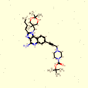 CCCCc1nc2c(N)nc3cc(C#CCN4CCN(C(=O)OC(C)(C)C)CC4)ccc3c2n1CC1(C)COC(C)(C)OC1